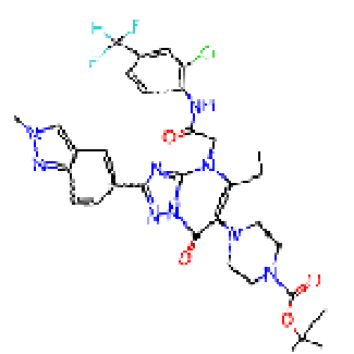 CCc1c(N2CCN(C(=O)OC(C)(C)C)CC2)c(=O)n2nc(-c3ccc4nn(C)cc4c3)nc2n1CC(=O)Nc1ccc(C(F)(F)F)cc1Cl